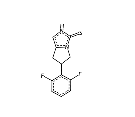 Fc1cccc(F)c1C1Cc2c[nH]c(=S)n2C1